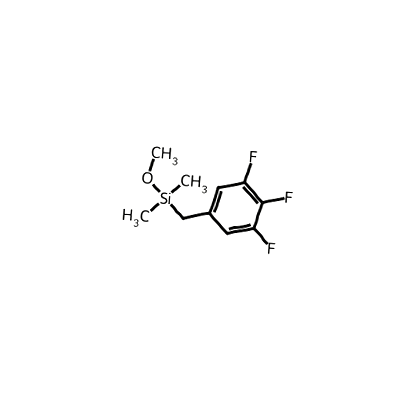 CO[Si](C)(C)Cc1cc(F)c(F)c(F)c1